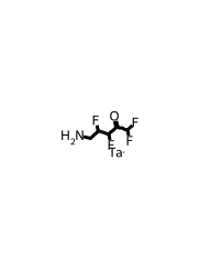 NCC(F)C(F)C(=O)C(F)F.[Ta]